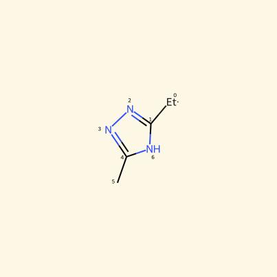 C[CH]c1nnc(C)[nH]1